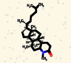 CC(C)CCC[C@@H](C)[C@H]1CC[C@H]2[C@@H]3[C@@H](C)CC4N(C)C(=O)CC[C@]4(C)[C@H]3CC[C@]12C